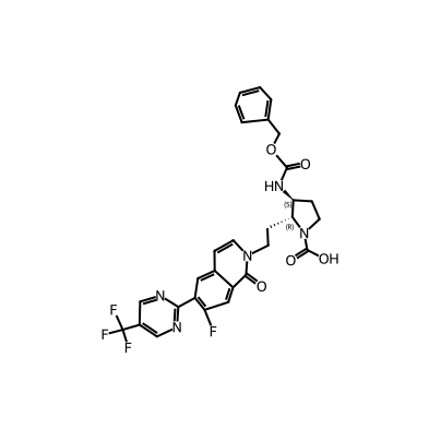 O=C(N[C@H]1CCN(C(=O)O)[C@@H]1CCn1ccc2cc(-c3ncc(C(F)(F)F)cn3)c(F)cc2c1=O)OCc1ccccc1